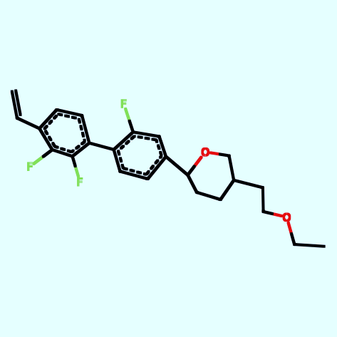 C=Cc1ccc(-c2ccc(C3CCC(CCOCC)CO3)cc2F)c(F)c1F